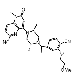 COCCOc1cc(C(C)N2C[C@H](C)N(c3cc(=O)n(C)c4ccc(C#N)nc34)C[C@H]2C)ccc1C#N